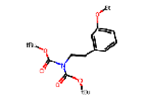 CCOc1cccc(CCN(C(=O)OC(C)(C)C)C(=O)OC(C)(C)C)c1